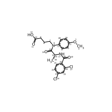 COc1ccc(N(CCCC(=O)O)C(=O)[C@H](C)NC(=O)c2ccc(Cl)cc2Cl)cc1